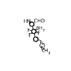 Bc1c(F)c(-c2cccc(CN3CCN(C)CC3)c2)c(F)c(F)c1-c1cc(C=O)c2c(c1)N2